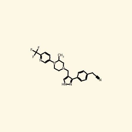 CC1CN(Cc2c[nH]nc2-c2ccc(CC#N)cc2)CCN1c1ccc(C(F)(F)F)nc1